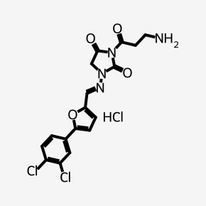 Cl.NCCC(=O)N1C(=O)CN(N=Cc2ccc(-c3ccc(Cl)c(Cl)c3)o2)C1=O